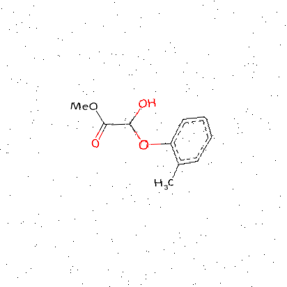 COC(=O)C(O)Oc1ccccc1C